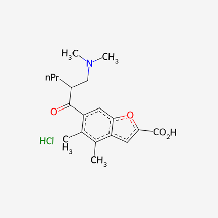 CCCC(CN(C)C)C(=O)c1cc2oc(C(=O)O)cc2c(C)c1C.Cl